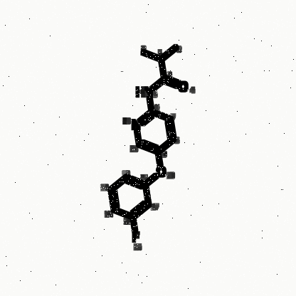 CC(C)C(=O)Nc1ccc(Oc2cccc(F)c2)cn1